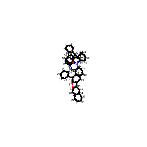 CC1(C)c2ccccc2-c2ccc(N(c3ccccc3-c3cccc4c3oc3cc5ccccc5cc34)c3ccccc3-n3c4ccccc4c4ccccc43)cc21